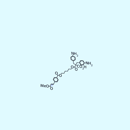 COC(=O)/C=C/c1ccc(C(=O)OCCCCCCOC(=O)C(Cc2ccc(N)cc2)(Cc2ccc(N)cc2)C(=O)O)cc1